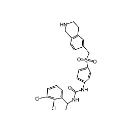 CC(NC(=O)Nc1ccc(S(=O)(=O)Cc2ccc3c(c2)CCNC3)cc1)c1cccc(Cl)c1Cl